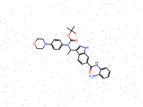 CC(c1c[nH]c2cc(C(=O)Nc3ccccc3N)ccc12)N(C(=O)OC(C)(C)C)c1ccc(N2CCOCC2)cc1